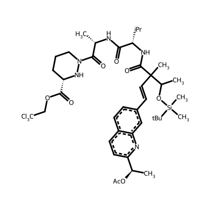 CC(=O)O[C@H](C)c1ccc2ccc(/C=C/C(C)(C(=O)N[C@H](C(=O)N[C@@H](C)C(=O)N3CCC[C@@H](C(=O)OCC(Cl)(Cl)Cl)N3)C(C)C)C(C)O[Si](C)(C)C(C)(C)C)cc2n1